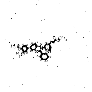 COC(=O)/C=C/c1ccnc(N(C[C@H]2CC[C@H](c3ccc(OC)c(C)c3)CC2)C(=O)C2CCCCC2)c1